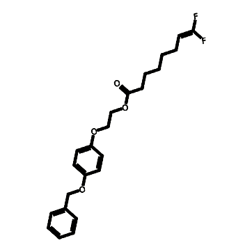 O=C(CCCCCC=C(F)F)OCCOc1ccc(OCc2ccccc2)cc1